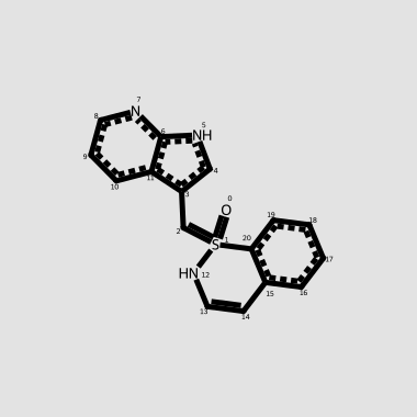 O=S1(=Cc2c[nH]c3ncccc23)NC=Cc2ccccc21